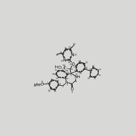 COc1ccc(CN2C(=O)CNC(c3cccc(-c4ccccc4)c3)(C(Oc3nc(C)cc(C)n3)C(=O)O)c3ccccc32)cc1